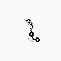 CC(c1ccccc1)c1ccc(OCC2Cn3ccc(=O)nc3O2)cc1